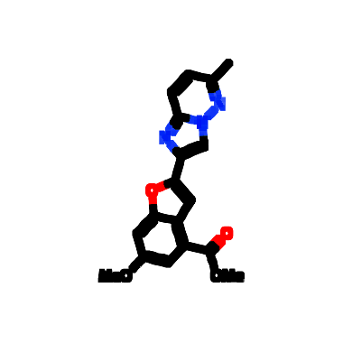 COC(=O)c1cc(OC)cc2oc(-c3cn4nc(C)ccc4n3)cc12